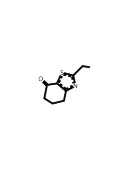 CCc1nc2c(s1)C(=O)CCC2